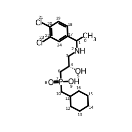 CC(NC[C@H](O)CP(=O)(O)CC1CCCCC1)c1ccc(Cl)c(Cl)c1